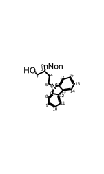 CCCCCCCCCC(CO)CCn1c2ccccc2c2ccccc21